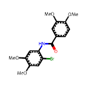 COc1ccc(C(=O)Nc2cc(OC)c(OC)cc2Br)cc1OC